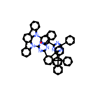 c1ccc(-c2nc(-c3ccccc3)nc(-c3ccc(-n4c5ccccc5c5ccc6c7ccccc7n(-c7nc(-c8ccccc8)nc(-c8cccc9c8-c8ccccc8C9(c8ccccc8)c8ccccc8)n7)c6c54)cc3)n2)cc1